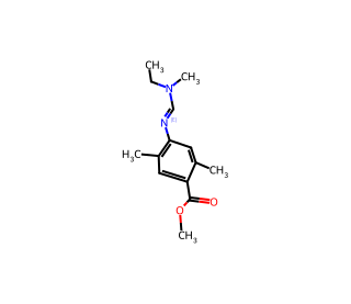 CCN(C)/C=N/c1cc(C)c(C(=O)OC)cc1C